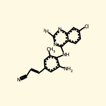 [2H]c1nc(Nc2c(C)cc(C=CC#N)cc2N)c2ccc(Cl)cc2n1